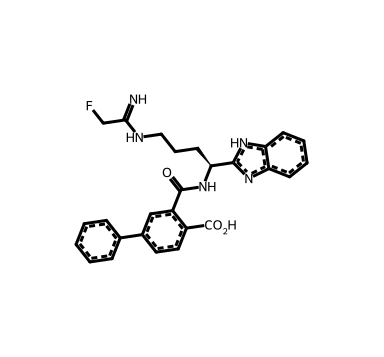 N=C(CF)NCCC[C@H](NC(=O)c1cc(-c2ccccc2)ccc1C(=O)O)c1nc2ccccc2[nH]1